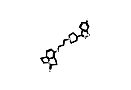 O=C1CCc2c(OCCCN3CCC(c4noc5cc(F)ccc45)CC3)ccc3c2N1CC3